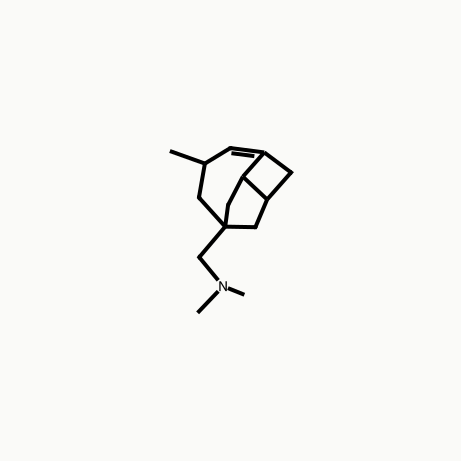 CC1C=C2CC3CC(CN(C)C)(C1)CC23